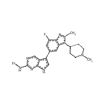 CCNc1ncc2c(-c3cc(F)c4nc(C)n(C5CCN(C)CC5)c4c3)c[nH]c2n1